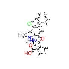 CN(C)C1(NC(=O)C2=C(C(=O)O)CCC2)C=CC(c2ccccc2)=C(Cl)C1